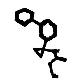 CC(C)(C)OC(=O)NC1(c2cccc(-c3ccccc3)c2)CC1